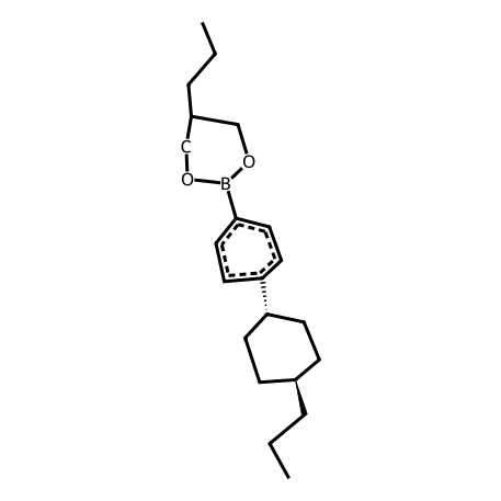 CCCC1COB(c2ccc([C@H]3CC[C@H](CCC)CC3)cc2)OC1